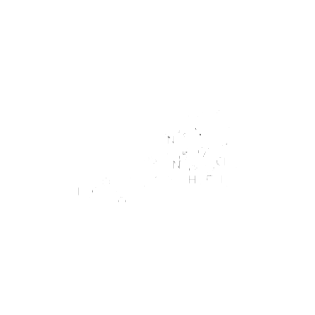 COC(=O)CCc1cnc(N2CCC[C@]2(C(=O)OC(C)(C)C)N2CCCCC2)s1